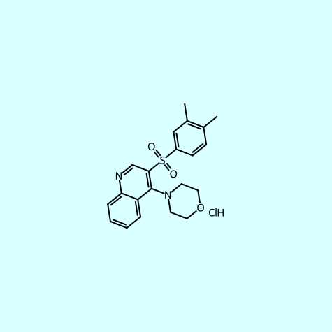 Cc1ccc(S(=O)(=O)c2cnc3ccccc3c2N2CCOCC2)cc1C.Cl